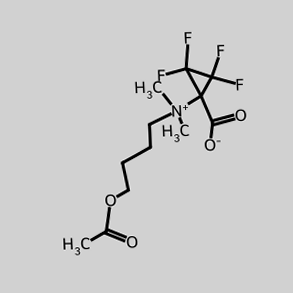 CC(=O)OCCCC[N+](C)(C)C1(C(=O)[O-])C(F)(F)C1(F)F